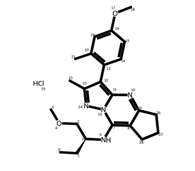 CC[C@@H](COC)Nc1c2c(nc3c(-c4ccc(OC)cc4C)c(C)nn13)CCC2.Cl